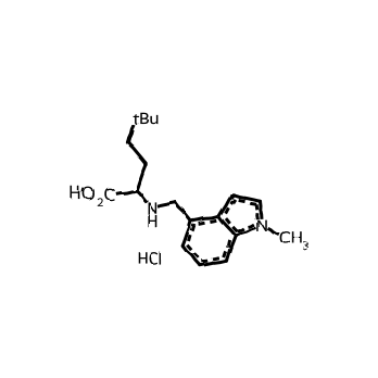 Cl.Cn1ccc2c(CNC(CCC(C)(C)C)C(=O)O)cccc21